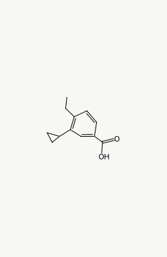 CCc1ccc(C(=O)O)cc1C1CC1